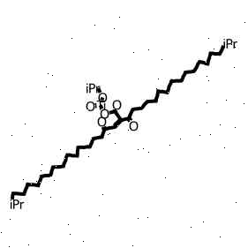 CC(C)CCCCCCCCCCCCCCC(=O)C=C(C(=O)CCCCCCCCCCCCCCC(C)C)C(=O)[O][Ti](=[O])[O]C(C)C